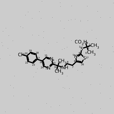 CC(C)(Sc1nc(CCNC(C)(C)c2ncc(-c3ccc(Cl)cc3)cn2)cs1)C(=O)O